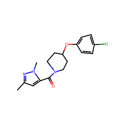 Cc1cc(C(=O)N2CCC(Oc3ccc(Cl)cc3)CC2)n(C)n1